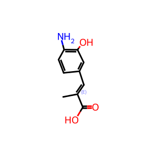 C/C(=C\c1ccc(N)c(O)c1)C(=O)O